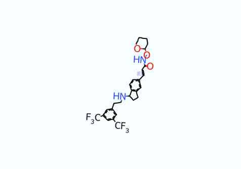 O=C(/C=C/c1ccc2c(c1)CCC2NCCc1cc(C(F)(F)F)cc(C(F)(F)F)c1)NOC1CCCCO1